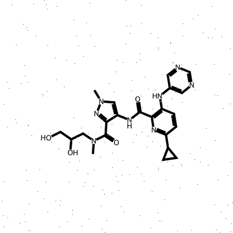 CN(CC(O)CO)C(=O)c1nn(C)cc1NC(=O)c1nc(C2CC2)ccc1Nc1cncnc1